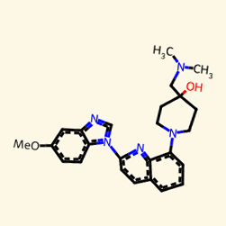 COc1ccc2c(c1)ncn2-c1ccc2cccc(N3CCC(O)(CN(C)C)CC3)c2n1